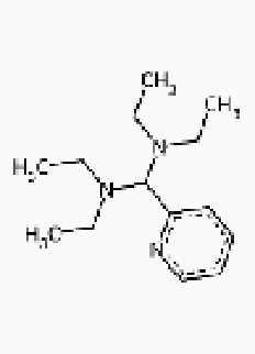 CCN(CC)C(c1ccccn1)N(CC)CC